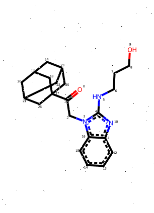 O=C(Cn1c(NCCCO)nc2ccccc21)C12CC3CC(CC(C3)C1)C2